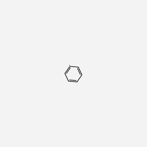 C1=CC=IC=C1